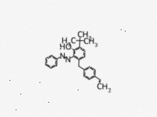 C=Cc1ccc(Cc2ccc(C(C)(C)C)c(O)c2N=Nc2ccccc2)cc1